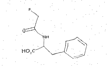 O=C(CF)NC(Cc1ccccc1)C(=O)O